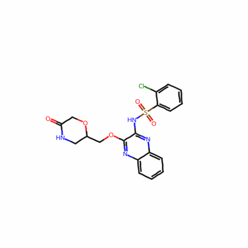 O=C1COC(COc2nc3ccccc3nc2NS(=O)(=O)c2ccccc2Cl)CN1